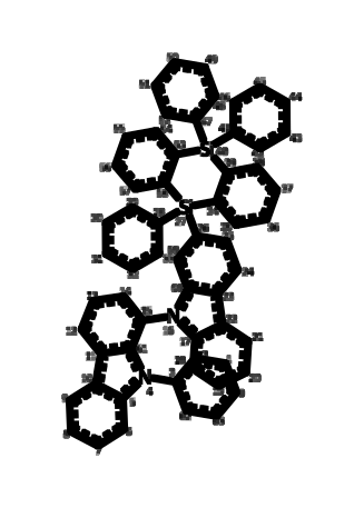 c1ccc(-n2c3ccccc3c3cccc(-n4c5ccccc5c5ccc([Si]6(c7ccccc7)c7ccccc7[Si](c7ccccc7)(c7ccccc7)c7ccccc76)cc54)c32)cc1